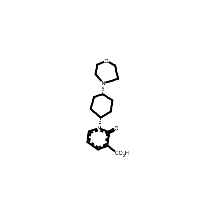 O=C(O)c1cccn([C@H]2CC[C@@H](N3CCOCC3)CC2)c1=O